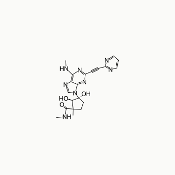 CNC(=O)C1(C)CC[C@](O)(n2cnc3c(NC)nc(C#Cc4ncccn4)nc32)[C@@H]1O